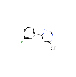 FC(F)(F)c1cc(-c2cccc(Cl)c2)nc(Cl)n1